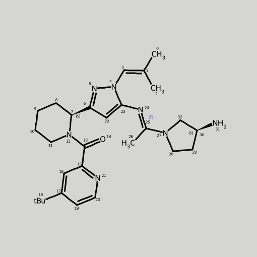 CC(C)=Cn1nc([C@@H]2CCCCN2C(=O)c2cc(C(C)(C)C)ccn2)cc1/N=C(\C)N1CC[C@H](N)C1